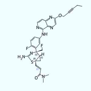 CCC#CCOc1cnc2c(Nc3ccc(F)c([C@@]4(CF)N=C(N)S[C@@]5(/C=C/C(=O)N(C)C)C[C@H]54)c3)nccc2n1